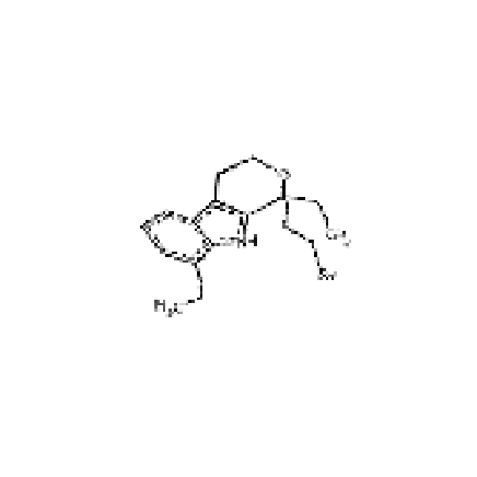 CCc1cccc2c3c([nH]c12)C(CC)(CCS)OCC3